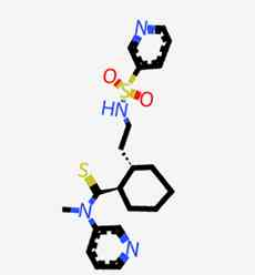 CN(C(=S)[C@@H]1CCCC[C@H]1CCNS(=O)(=O)c1cccnc1)c1cccnc1